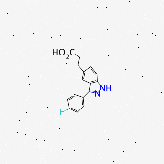 O=C(O)CCc1ccc2[nH]nc(-c3ccc(F)cc3)c2c1